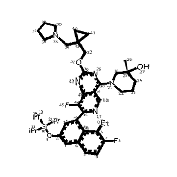 CCc1c(F)ccc2cc(O[Si](C(C)C)(C(C)C)C(C)C)cc(-c3ncc4c(N5CCC[C@@](C)(O)C5)nc(OCC5(CN6CCCC6)CC5)nc4c3F)c12